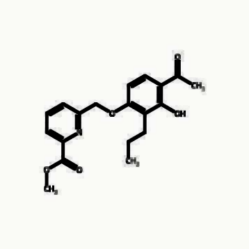 CCCc1c(OCc2cccc(C(=O)OC)n2)ccc(C(C)=O)c1O